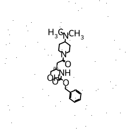 CN(C)C1CCN(C(=O)C[C@H](CO)NC(=O)OCc2ccccc2)CC1